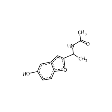 CC(=O)NC(C)c1cc2cc(O)ccc2o1